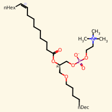 CCCCCC/C=C\CCCCCCCC(=O)O[C@H](COCCCCCCCCCCCCCC)COP(=O)([O-])OCC[N+](C)(C)C